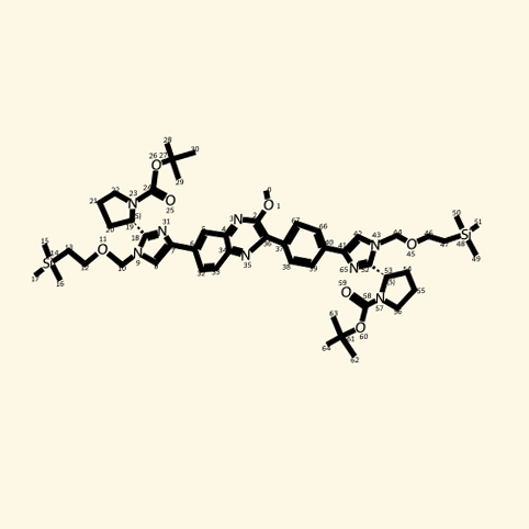 COc1nc2cc(-c3cn(COCC[Si](C)(C)C)c([C@@H]4CCCN4C(=O)OC(C)(C)C)n3)ccc2nc1-c1ccc(-c2cn(COCC[Si](C)(C)C)c([C@@H]3CCCN3C(=O)OC(C)(C)C)n2)cc1